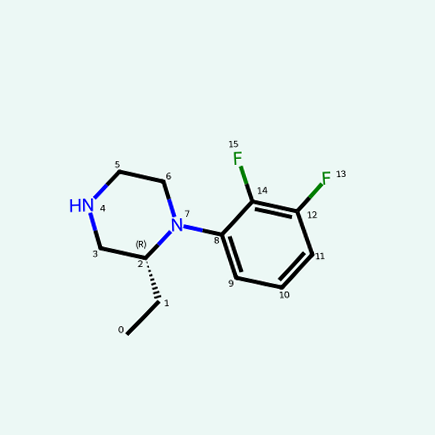 CC[C@@H]1CNCCN1c1cccc(F)c1F